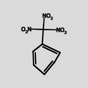 O=[N+]([O-])C(c1ccccc1)([N+](=O)[O-])[N+](=O)[O-]